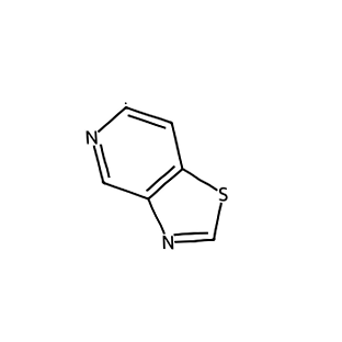 [c]1cc2scnc2cn1